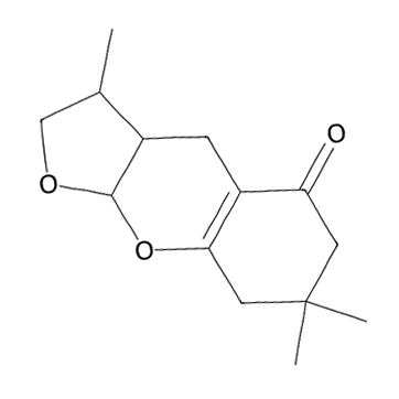 CC1COC2OC3=C(CC12)C(=O)CC(C)(C)C3